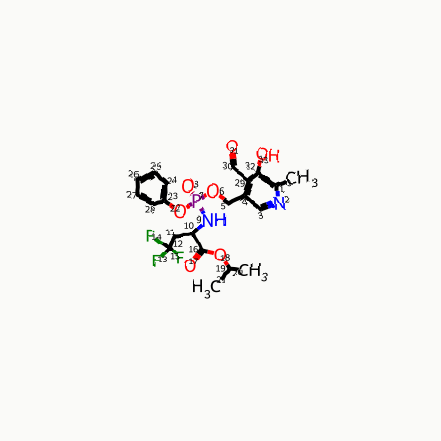 Cc1ncc(COP(=O)(NC(CC(F)(F)F)C(=O)OC(C)C)Oc2ccccc2)c(C=O)c1O